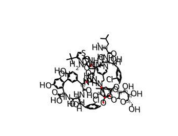 CN[C@@H](CC(C)C)C(=O)N[C@H]1C(=O)N[C@@H](CC(N)=O)C(=O)NC2C(=O)N[C@@H]3C(=O)N[C@@H](C(=O)N[C@@H](C(=O)O)c4cc(O)cc(O)c4-c4cc3ccc4O)[C@H](O)c3ccc(c(Cl)c3)Oc3cc2cc(c3OC2O[C@@H](CO)[C@@H](O)[C@@H](O)[C@H]2O[C@H]2CC(C)(NCc3cncc(C(=O)Nc4nc(C(C)(C)C)cs4)c3)[C@@H](O)C(C)O2)Oc2ccc(cc2Cl)[C@H]1O